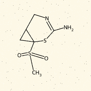 CS(=O)(=O)C12CC1CN=C(N)S2